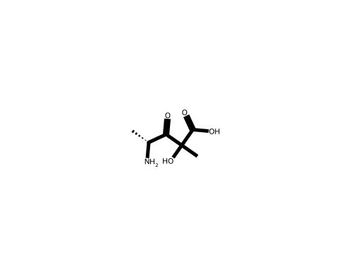 C[C@@H](N)C(=O)C(C)(O)C(=O)O